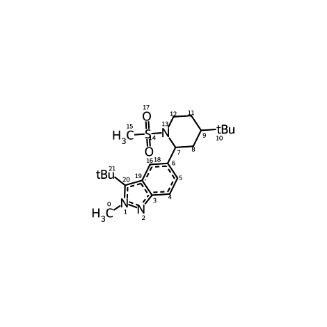 Cn1nc2ccc(C3CC(C(C)(C)C)CCN3S(C)(=O)=O)cc2c1C(C)(C)C